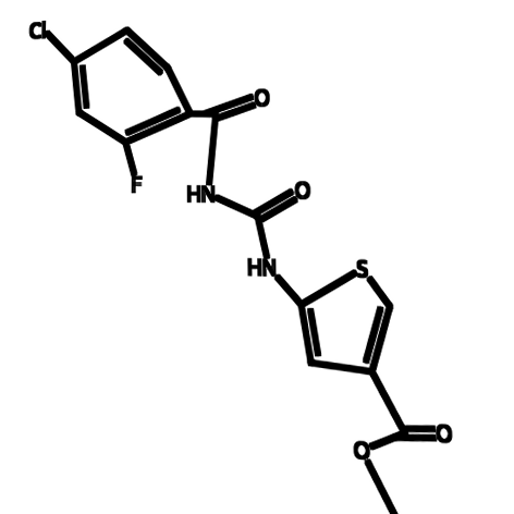 COC(=O)c1csc(NC(=O)NC(=O)c2ccc(Cl)cc2F)c1